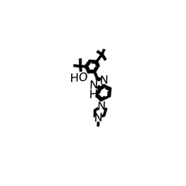 CN1CCN(c2ccc3nc(-c4cc(C(C)(C)C)cc(C(C)(C)C)c4O)[nH]c3c2)CC1